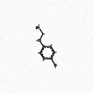 CC(C)COc1ccc([N])cc1